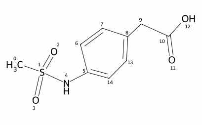 CS(=O)(=O)Nc1ccc(CC(=O)O)cc1